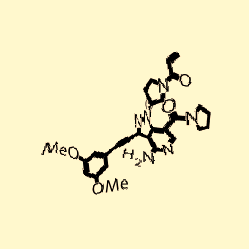 C=CC(=O)N1CC[C@H](n2nc(C#Cc3cc(OC)cc(OC)c3)c3c(N)ncc(C(=O)N4CCCC4)c32)C1